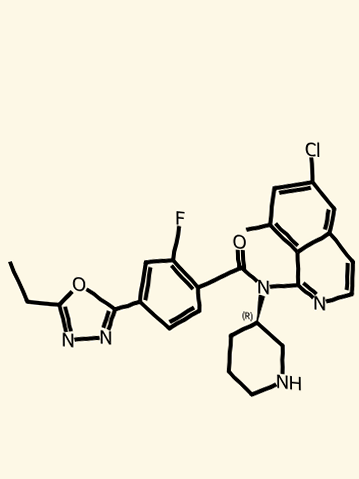 CCc1nnc(-c2ccc(C(=O)N(c3nccc4cc(Cl)cc(C)c34)[C@@H]3CCCNC3)c(F)c2)o1